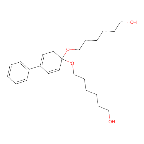 OCCCCCCOC1(OCCCCCCO)C=CC(c2ccccc2)=CC1